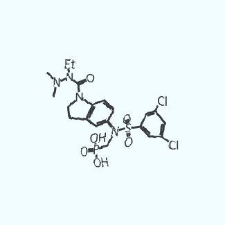 CCN(C(=O)N1CCc2cc(N(CP(=O)(O)O)S(=O)(=O)c3cc(Cl)cc(Cl)c3)ccc21)N(C)C